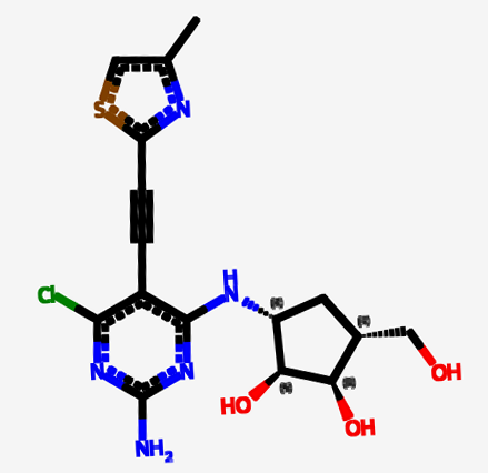 Cc1csc(C#Cc2c(Cl)nc(N)nc2N[C@@H]2C[C@H](CO)[C@@H](O)[C@H]2O)n1